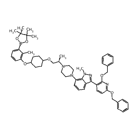 Cc1c(OC2CCC(OC[C@@H](C)N3CCN(c4cccc5c(-c6ccc(OCc7ccccc7)nc6OCc6ccccc6)nn(C)c45)CC3)CC2)cccc1B1OC(C)(C)C(C)(C)O1